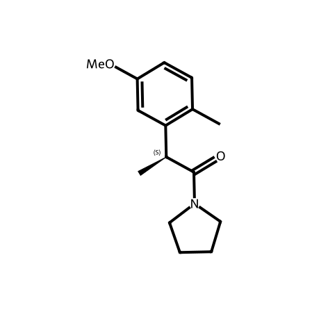 COc1ccc(C)c([C@H](C)C(=O)N2CCCC2)c1